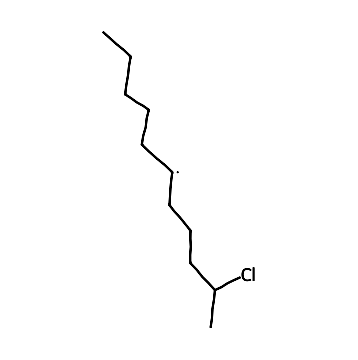 CCCCC[CH]CCCC(C)Cl